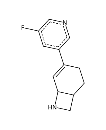 Fc1cncc(C2=CC3NCC3CC2)c1